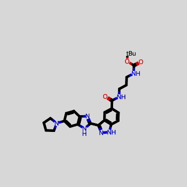 CC(C)(C)OC(=O)NCCCNC(=O)c1ccc2[nH]nc(-c3nc4ccc(N5CCCC5)cc4[nH]3)c2c1